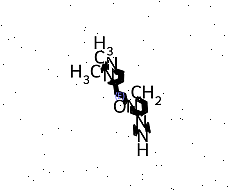 C=C1C=CC(N2CCNCC2)=CN1C(=O)/C=C/c1ccc2nc(C)c(C)n2c1